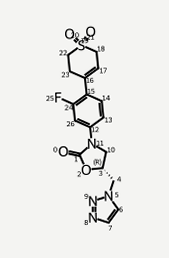 O=C1O[C@@H](Cn2ccnn2)CN1c1ccc(C2=CCS(=O)(=O)CC2)c(F)c1